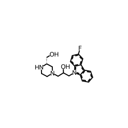 OC[C@@H]1CN(CC(O)Cn2c3ccccc3c3cc(F)ccc32)CCN1